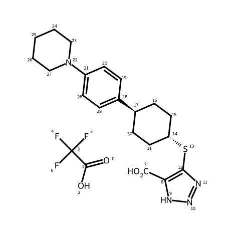 O=C(O)C(F)(F)F.O=C(O)c1[nH]nnc1S[C@H]1CC[C@H](c2ccc(N3CCCCC3)cc2)CC1